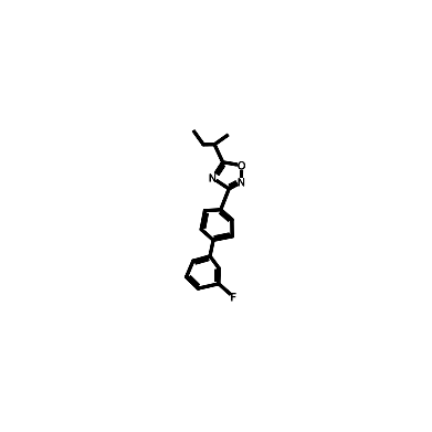 CCC(C)c1nc(-c2ccc(-c3cccc(F)c3)cc2)no1